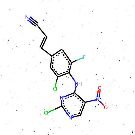 N#CC=Cc1cc(F)c(Nc2nc(Cl)ncc2[N+](=O)[O-])c(Cl)c1